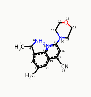 Cc1cc(C(C)N)c2nc(N3CCOCC3)cc(C#N)c2c1